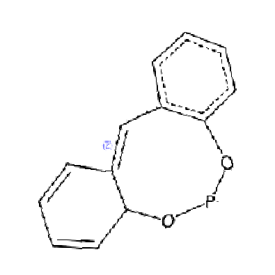 C1=C/C2=C/c3ccccc3O[P]OC2C=C1